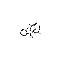 C#CC(C)OP(=O)(OC(C)C#C)C(=O)c1ccccc1C